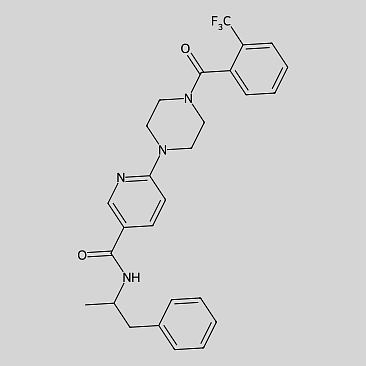 CC(Cc1ccccc1)NC(=O)c1ccc(N2CCN(C(=O)c3ccccc3C(F)(F)F)CC2)nc1